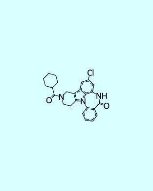 O=C1Nc2cc(Cl)cc3c4c(n(c23)-c2ccccc21)CCN(C(=O)C1CCCCC1)C4